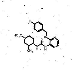 C[C@H]1CN(C(=O)O)CC[C@H]1NC(=S)Nc1cncnc1NCc1ccc(F)cc1